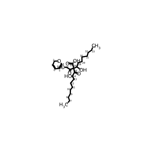 C1=CCOC=C1.CCCCCCCCC(O)C(=O)C(C(=O)O)(C(=O)CO)C(O)CCCCCCC